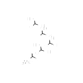 CC(C)[O-].CC(C)[O-].CC(C)[O-].CC(C)[O-].CC(C)[O-].[Al+3].[Mg+2]